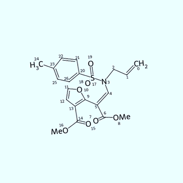 C=CCN(/C=C(/C(=O)OC)c1occc1C(=O)OC)S(=O)(=O)c1ccc(C)cc1